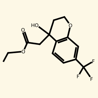 CCOC(=O)CC1(O)CCOc2cc(C(F)(F)F)ccc21